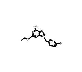 CCOc1nc(N)c2ncn(Cc3ccc(F)nc3)c2n1